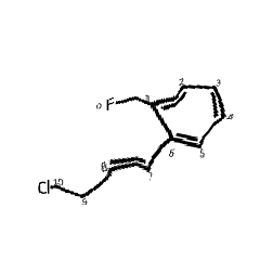 Fc1ccccc1/C=C/CCl